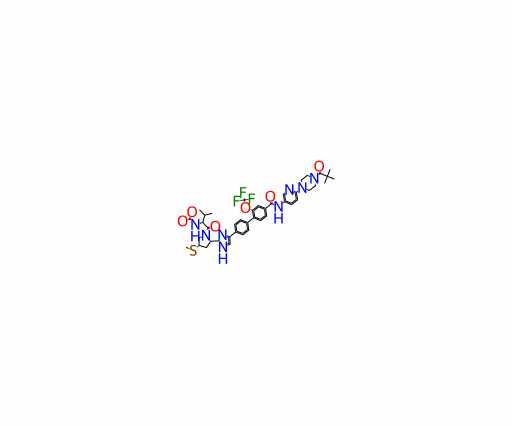 COC(=O)N[C@H](C(=O)N1CC(SC)CC1c1nc(-c2ccc(-c3ccc(C(=O)Nc4ccc(N5CCN(C(=O)C(C)(C)C)CC5)nc4)cc3OC(F)(F)F)cc2)c[nH]1)C(C)C